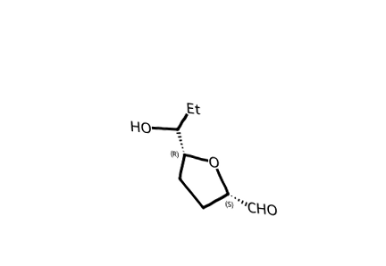 CCC(O)[C@H]1CC[C@@H](C=O)O1